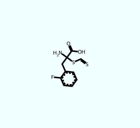 NC(Cc1ccccc1F)(SC=S)C(=O)O